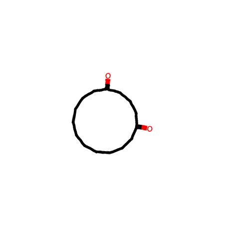 O=C1CCCCCCCCCCC(=O)CCC1